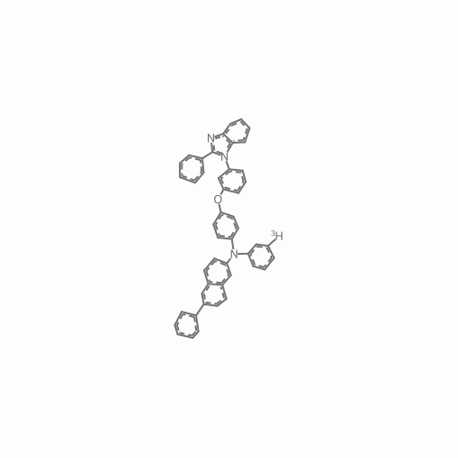 [3H]c1cccc(N(c2ccc(Oc3cccc(-n4c(-c5ccccc5)nc5ccccc54)c3)cc2)c2ccc3cc(-c4ccccc4)ccc3c2)c1